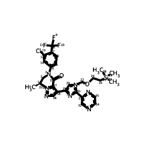 C[C@H]1CN(c2ccc(C(F)(F)F)c(Cl)c2)C(=O)c2c(-c3cn(COCC[Si](C)(C)C)c(-c4cnccn4)n3)cnn21